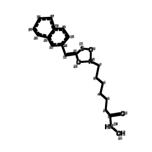 O=C(CCCCCCN1OS/C(=C\c2ccc3ccccc3c2)O1)NO